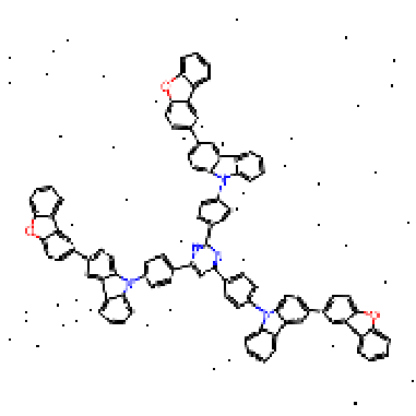 c1ccc2c(c1)oc1ccc(-c3ccc4c(c3)c3ccccc3n4-c3ccc(-c4cc(-c5ccc(-n6c7ccccc7c7cc(-c8ccc9oc%10ccccc%10c9c8)ccc76)cc5)nc(-c5ccc(-n6c7ccccc7c7cc(-c8ccc9oc%10ccccc%10c9c8)ccc76)cc5)n4)cc3)cc12